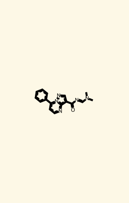 CN(C)/C=N/C(=O)c1cnn2c(-c3ccccc3)ccnc12